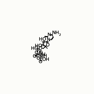 C=C1N=C(N)C=CN1[C@@H]1O[C@](C)(COP(=O)(O)OP(=O)(O)OP(=O)(O)O)[C@@H](O)[C@@]1(C)O